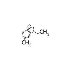 CCc1coc2ccc(C)cc12